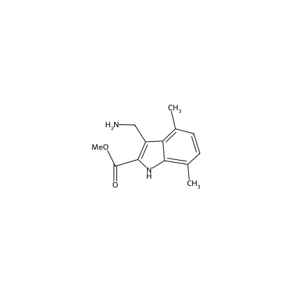 COC(=O)c1[nH]c2c(C)ccc(C)c2c1CN